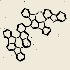 Cn1c2ccccc2c2ccc3c4ccccc4n(-c4c5ccccc5cc5c(-c6cc7c8ccccc8n(-c8cccc9c8sc8ccccc89)c7c7c6c6ccccc6n7C)cccc45)c3c21